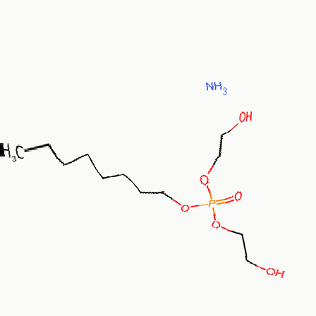 CCCCCCCCOP(=O)(OCCO)OCCO.N